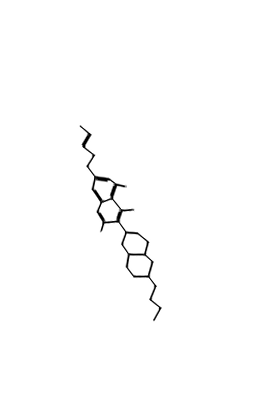 CC=CCCc1cc(F)c2c(F)c(C3CCC4CC(CCCC)CCC4C3)c(F)cc2c1